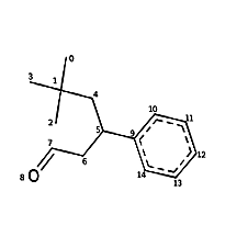 CC(C)(C)CC(CC=O)c1ccccc1